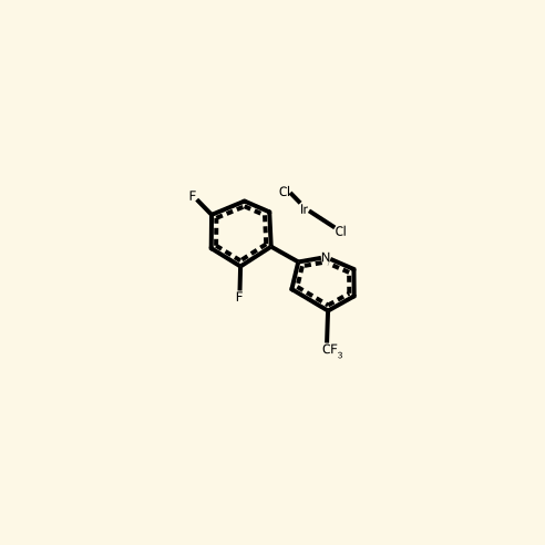 Fc1ccc(-c2cc(C(F)(F)F)ccn2)c(F)c1.[Cl][Ir][Cl]